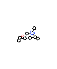 c1ccc(-c2nc(-c3ccccc3)nc(-c3cc4ccccc4cc3-c3ccc(-c4ccc5c(c4)oc4ccc6ccccc6c45)cc3)n2)cc1